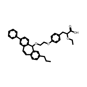 CCCc1ccc2c(c1)C(OCCOc1ccc(CC(OCC)C(=O)O)cc1)c1ccc(-c3ccccc3)cc1C=C2